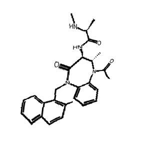 CN[C@@H](C)C(=O)N[C@@H]1C(=O)N(Cc2c(C)ccc3ccccc23)c2ccccc2N(C(C)=O)[C@H]1C